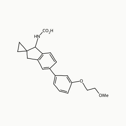 COCCOc1cccc(-c2ccc3c(c2)CC2(CC2)C3NC(=O)O)c1